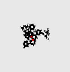 Cc1ccc2c(c1)c1ccccc1n2-c1ccc(-c2nc(C)nc(C)n2)cc1-c1cccc(-c2cc(-c3nc(C)nc(C)n3)ccc2-n2c3ccccc3c3cc(C)ccc32)c1